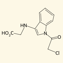 O=C(O)CNc1cn(C(=O)CCl)c2ccccc12